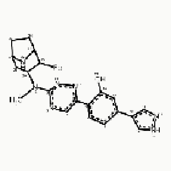 CN(c1ncc(-c2ccc(-c3cn[nH]c3)cc2O)nn1)[C@H]1CC2CCC(N2)[C@H]1F